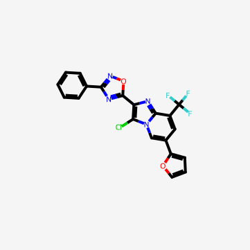 FC(F)(F)c1cc(-c2ccco2)cn2c(Cl)c(-c3nc(-c4ccccc4)no3)nc12